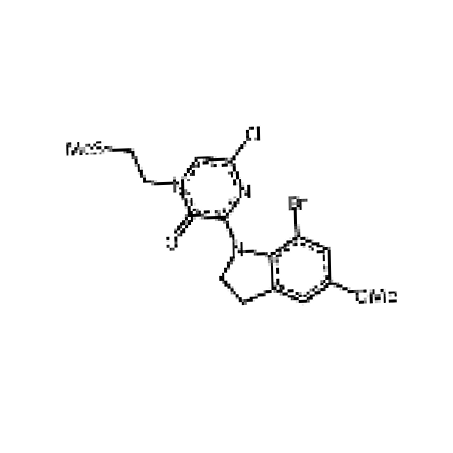 COc1cc(Br)c2c(c1)CCN2c1nc(Cl)cn(CCSC)c1=O